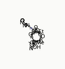 CC[C@H]1OC(=O)[C@H](C)C(=O)[C@H](C)[C@@H](O[C@@H]2OC(C)CC(N(C)C)C2O)[C@](C)(OC)C[C@@H](C)C(=O)[C@H](C)[C@H]2N(C/C=C/Cn3cnc(-c4ccccn4)c3)C(=O)O[C@]12C